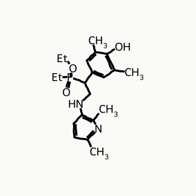 CCOP(=O)(CC)C(CNc1ccc(C)nc1C)c1cc(C)c(O)c(C)c1